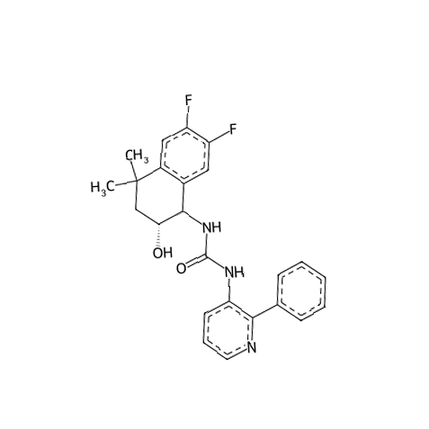 CC1(C)C[C@@H](O)C(NC(=O)Nc2cccnc2-c2ccccc2)c2cc(F)c(F)cc21